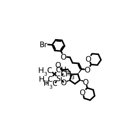 CC(C)(C)[Si](C)(C)O[C@@H]1C[C@H](OC2CCCCO2)[C@H](/C(=C\CCOc2cccc(Br)c2)OC2CCCCO2)[C@@H]1CC=O